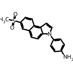 CS(=O)(=O)c1ccc2c(ccc3c2c[c]n3-c2ccc(N)cc2)c1